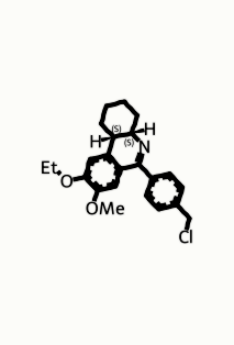 CCOc1cc2c(cc1OC)C(c1ccc(CCl)cc1)=N[C@H]1CCCC[C@@H]21